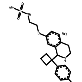 CCCS(=O)(=O)NCCOc1ccc2c(c1)C(C1(c3ccc(F)cc3)CCC1)NCC2.Cl